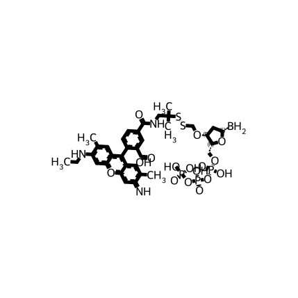 B[C@H]1C[C@@H](OCSSC(C)(C)CNC(=O)c2ccc(-c3c4cc(C)c(=N)cc-4oc4cc(NCC)c(C)cc34)c(C(=O)O)c2)[C@@H](COP(=O)(O)OP(=O)(O)OP(=O)(O)O)O1